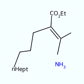 CCCCCCCCCCC(C(=O)OCC)=C(C)C.N